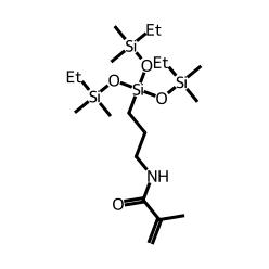 C=C(C)C(=O)NCCC[Si](O[Si](C)(C)CC)(O[Si](C)(C)CC)O[Si](C)(C)CC